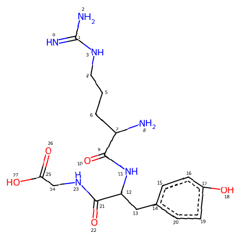 N=C(N)NCCCC(N)C(=O)NC(Cc1ccc(O)cc1)C(=O)NCC(=O)O